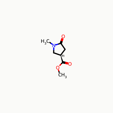 COC(=O)[C@@H]1CC(=O)N(C)C1